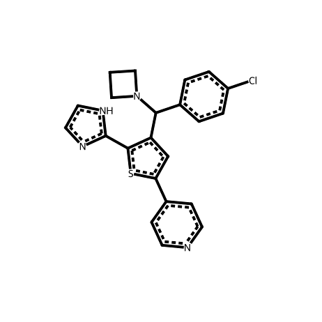 Clc1ccc(C(c2cc(-c3ccncc3)sc2-c2ncc[nH]2)N2CCC2)cc1